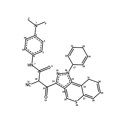 CN(C)c1ccc(NC(=O)C(C#N)C(=O)c2nn(C3C=CCC=C3)c3c2=CSC2=CC=CCC=32)cc1